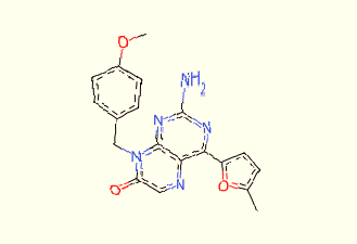 COc1ccc(Cn2c(=O)cnc3c(-c4ccc(C)o4)nc(N)nc32)cc1